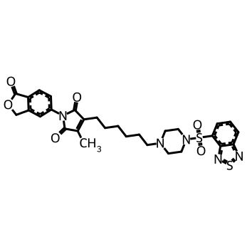 CC1=C(CCCCCCN2CCN(S(=O)(=O)c3cccc4nsnc34)CC2)C(=O)N(c2ccc3c(c2)COC3=O)C1=O